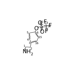 NCCc1ccc(OS(=O)(=O)C(F)(F)F)cc1